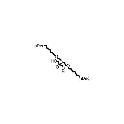 CCCCCCCCCCCCCCCCOCCOCCOCCCCCCCCCCCCCCCC.OCC(O)CO